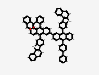 c1ccc(-c2ccc(-c3c4ccccc4c(-c4ccc5c(c4)sc4ccc6ccccc6c45)c4cc(-c5ccc6c(-c7ccccc7-c7cccc8ccccc78)c7ccccc7c(-c7ccc8c(c7)sc7c9ccccc9ccc87)c6c5)ccc34)cc2)cc1